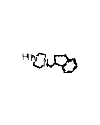 c1ccc2c(c1)CCC2CN1CCNCC1